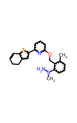 Cc1cccc(N(C)N)c1COc1cccc(-c2cc3c(s2)C=CCC3)n1